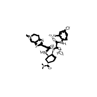 CN1CCc2nc(C(=O)N[C@@H]3C[C@@H](C(=O)N(C)C)CC[C@@H]3NC(=O)C(=O)Nc3ccc(Cl)cc3[N+](=O)[O-])sc2C1.Cl